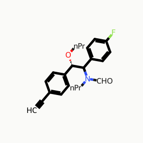 C#Cc1ccc([C@H](OCCC)C(c2ccc(F)cc2)N(C=O)CCC)cc1